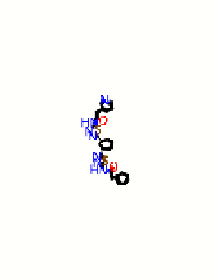 O=C(Cc1ccccc1)Nc1nnc([C@H]2CCC[C@H](c3nnc(NC(=O)Cc4cccnc4)s3)C2)s1